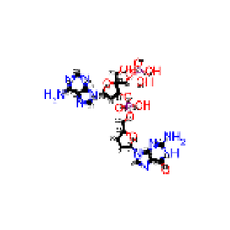 Nc1nc2c(ncn2[C@H]2CC[C@@H](COP(=O)(O)O[C@H]3C[C@H](n4cnc5c(N)ncnc54)OC3(CO)COP(=O)(O)O)O2)c(=O)[nH]1